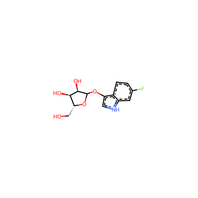 OC[C@H]1OC(Oc2c[nH]c3cc(F)ccc23)[C@H](O)[C@@H]1O